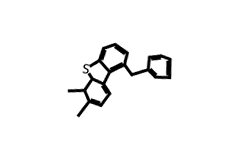 CC1=CC=C2c3c(Cc4ccccc4)cccc3SC2C1C